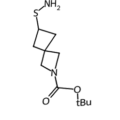 CC(C)(C)OC(=O)N1CC2(CC(SN)C2)C1